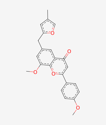 COc1ccc(-c2cc(=O)c3cc(Cc4cc(C)co4)cc(OC)c3o2)cc1